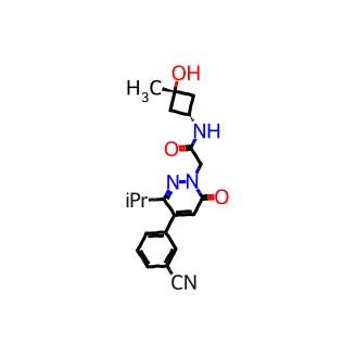 CC(C)c1nn(CC(=O)N[C@H]2C[C@@](C)(O)C2)c(=O)cc1-c1cccc(C#N)c1